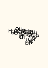 CCO[C@H](C1C[C@@H](C)[C@H]2C(O1)[C@H](O)[C@@]1(C)C3CC[C@H]4C(C)(C)[C@@H](O[C@H]5CN([C@H]6CCN(CC)C6=O)CCO5)CC[C@@]45CC35CC[C@]21C)C(C)(C)O